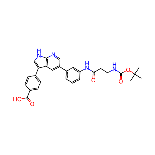 CC(C)(C)OC(=O)NCCC(=O)Nc1cccc(-c2cnc3[nH]cc(-c4ccc(C(=O)O)cc4)c3c2)c1